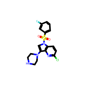 O=S(=O)(c1cccc(F)c1)n1cc(N2CCNCC2)c2nc(Cl)ccc21